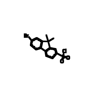 CC1(C)c2cc(Br)ccc2-c2ccc(S(=O)(=O)Cl)cc21